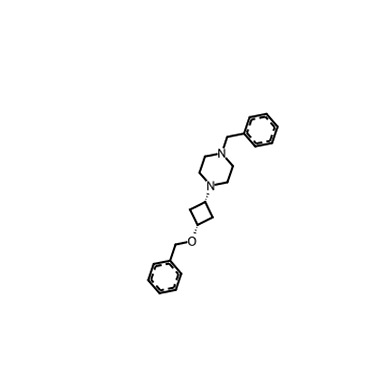 c1ccc(CO[C@H]2C[C@@H](N3CCN(Cc4ccccc4)CC3)C2)cc1